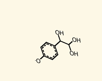 [O]c1ccc(C(O)C(O)O)cc1